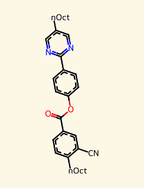 CCCCCCCCc1cnc(-c2ccc(OC(=O)c3ccc(CCCCCCCC)c(C#N)c3)cc2)nc1